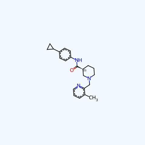 Cc1cccnc1CN1CCC[C@H](C(=O)Nc2ccc(C3CC3)cc2)C1